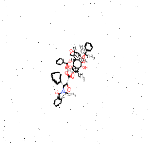 CC1=C2[C@@H](O)C(=O)[C@]3(C)[C@@H](OC(C)(C)c4ccccc4)C[C@H]4OC[C@@]4(C)[C@H]3[C@H](OC(=O)c3ccccc3)[C@](O)(C[C@@H]1OC(=O)[C@@H]1OC(C)(C)N(C(=O)c3ccccc3)[C@@H]1c1ccccc1)C2(C)C